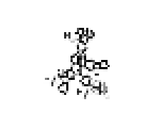 CC(C)(C)c1ccc(N2B3c4cc5oc6ccccc6c5cc4-n4c5cc6c(cc5c5ccc(c3c54)-c3cc4c(cc32)-c2ccccc2C4(C)C)C(C)(C)c2ccccc2-6)cc1